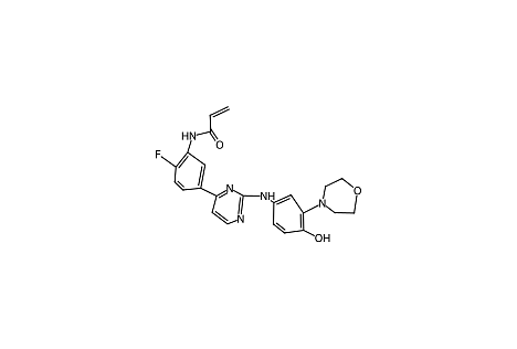 C=CC(=O)Nc1cc(-c2ccnc(Nc3ccc(O)c(N4CCOCC4)c3)n2)ccc1F